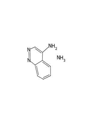 N.Nc1cnnc2ccccc12